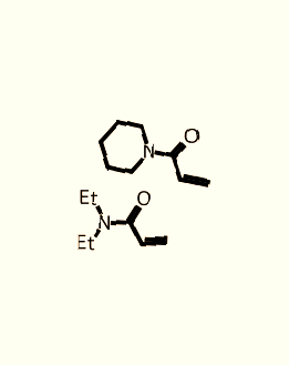 C=CC(=O)N(CC)CC.C=CC(=O)N1CCCCC1